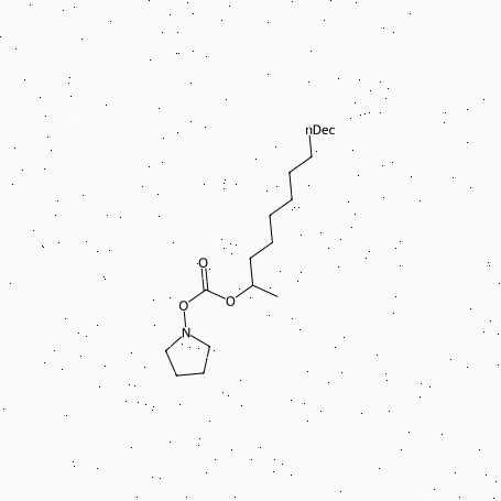 CCCCCCCCCCCCCCCCC(C)OC(=O)ON1CCCC1